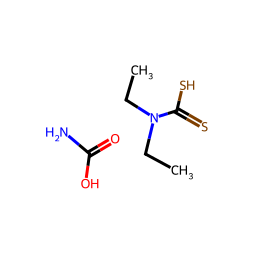 CCN(CC)C(=S)S.NC(=O)O